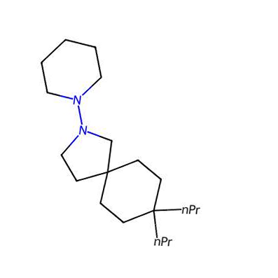 CCCC1(CCC)CCC2(CCN(N3CCCCC3)C2)CC1